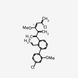 C=Cc1c(C(=C)C(=C)/C(=C\C(=C)Cl)OC)cccc1-c1ccc(Cl)cc1OC